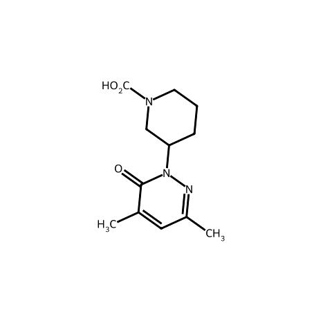 Cc1cc(C)c(=O)n(C2CCCN(C(=O)O)C2)n1